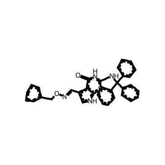 O=c1[nH]c(NC(c2ccccc2)(c2ccccc2)c2ccccc2)nc2[nH]cc(C=NOCc3ccccc3)c12